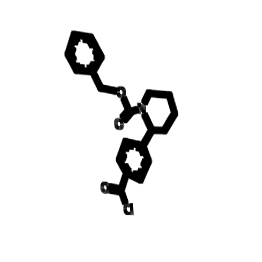 O=C(Cl)c1ccc(C2CCCCN2C(=O)OCc2ccccc2)cc1